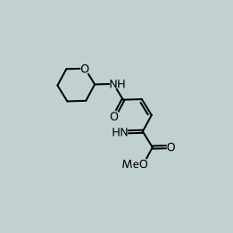 COC(=O)C(=N)/C=C\C(=O)NC1CCCCO1